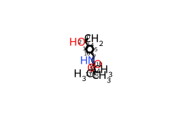 C=C(O)c1ccc(CNC(=O)OC(C)(C)C)cc1